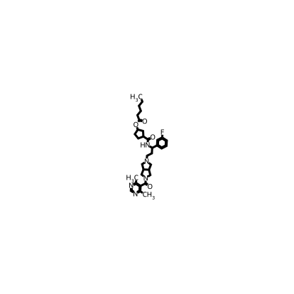 CCCCCC(=O)OC1CCC(C(=O)NC(CCN2CC3CN(C(=O)c4c(C)ncnc4C)CC3C2)c2cccc(F)c2)C1